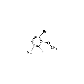 N#Cc1ccc(Br)c(OC(F)(F)F)c1F